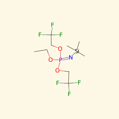 CCOP(=N[Si](C)(C)C)(OCC(F)(F)F)OCC(F)(F)F